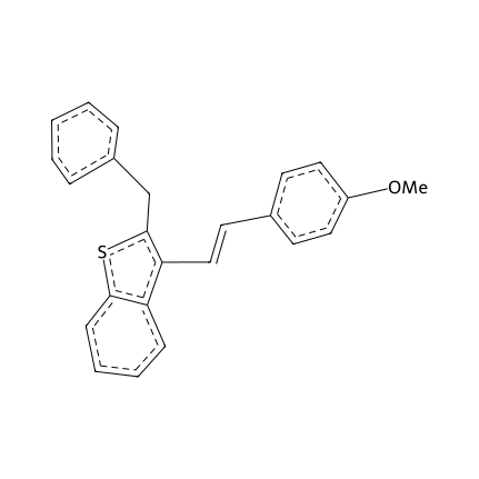 COc1ccc(C=Cc2c(Cc3ccccc3)sc3ccccc23)cc1